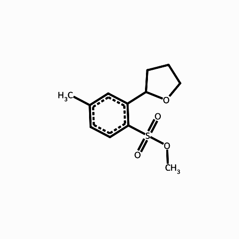 COS(=O)(=O)c1ccc(C)cc1C1CCCO1